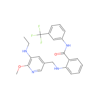 CCNc1cc(CNc2ccccc2C(=O)Nc2cccc(C(F)(F)F)c2)cnc1OC